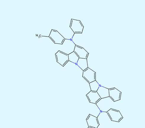 Cc1ccc(N(c2ccccc2)c2ccc3c4cc5c(cc4n4c6ccccc6c2c34)c2ccc(N(c3ccccc3)c3ccc(C)cc3)c3c4ccccc4n5c23)cc1